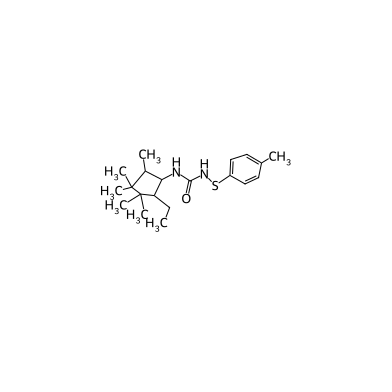 CCC1C(NC(=O)NSc2ccc(C)cc2)C(C)C(C)(C)C1(C)C